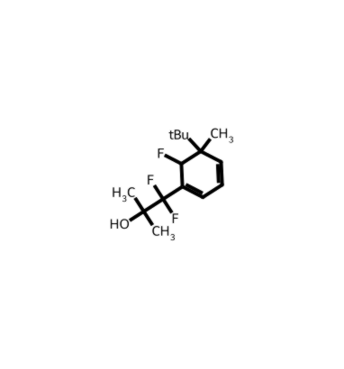 CC(C)(C)C1(C)C=CC=C(C(F)(F)C(C)(C)O)C1F